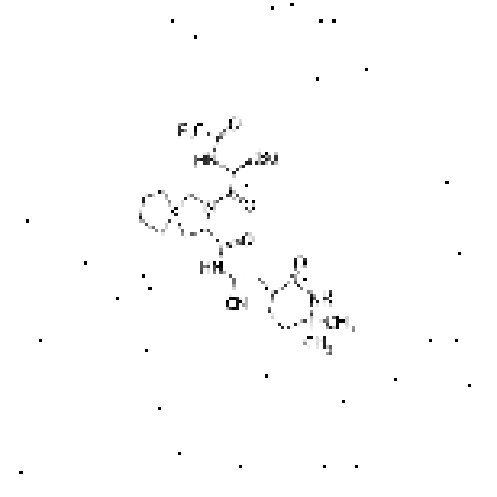 CC1(C)CCC(CC(C#N)NC(=O)C2CS3(CCCC3)CN2C(=O)[C@@H](NC(=O)C(F)(F)F)C(C)(C)C)C(=O)N1